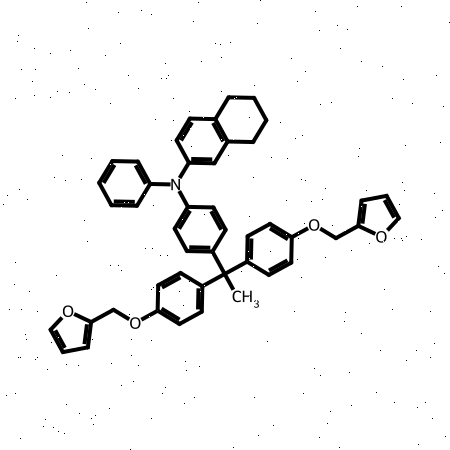 CC(c1ccc(OCc2ccco2)cc1)(c1ccc(OCc2ccco2)cc1)c1ccc(N(c2ccccc2)c2ccc3c(c2)CCCC3)cc1